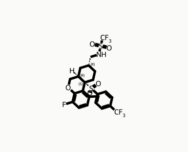 O=S(=O)(NC[C@@H]1CC[C@@]2(S(=O)(=O)c3ccc(C(F)(F)F)cc3)c3c(F)ccc(F)c3OC[C@H]2C1)C(F)(F)F